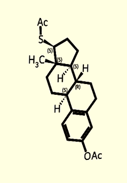 CC(=O)Oc1ccc2c(c1)CC[C@@H]1[C@@H]2CC[C@]2(C)[C@@H](SC(C)=O)CC[C@@H]12